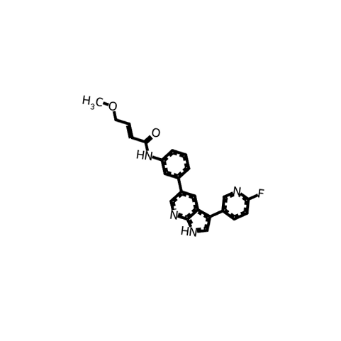 COCC=CC(=O)Nc1cccc(-c2cnc3[nH]cc(-c4ccc(F)nc4)c3c2)c1